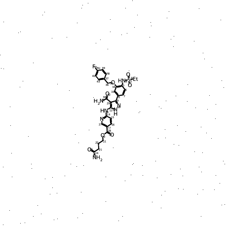 CCS(=O)(=O)Nc1ccc(-c2n[nH]c(Nc3ccc(C(=O)OCCCC(N)=O)cn3)c2C(N)=O)cc1OCc1ccc(F)cc1